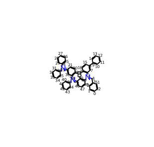 c1ccc(CN2c3cc(-c4ccccc4)ccc3B3c4ccc(N(c5ccccc5)c5ccccc5)cc4N(c4ccccc4)c4cccc2c43)cc1